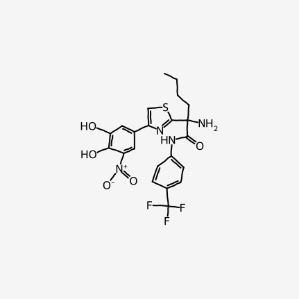 CCCCC(N)(C(=O)Nc1ccc(C(F)(F)F)cc1)c1nc(-c2cc(O)c(O)c([N+](=O)[O-])c2)cs1